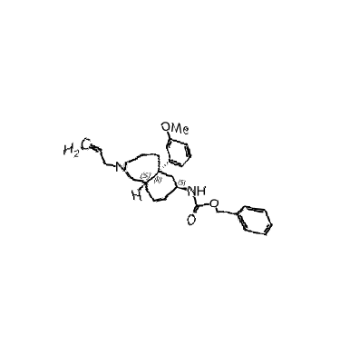 C=CCN1CC[C@@]2(c3cccc(OC)c3)C[C@@H](NC(=O)OCc3ccccc3)CC[C@@H]2C1